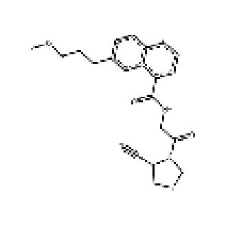 COCCCc1ccc2nccc(C(=O)NCC(=O)N3CSCC3C#N)c2c1